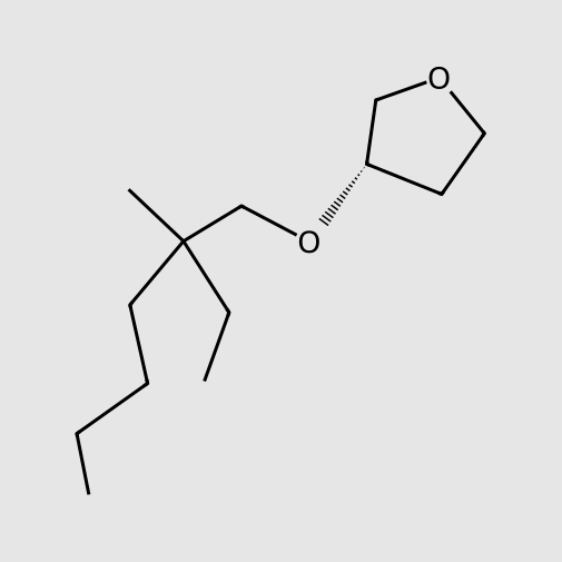 CCCCC(C)(CC)CO[C@H]1CCOC1